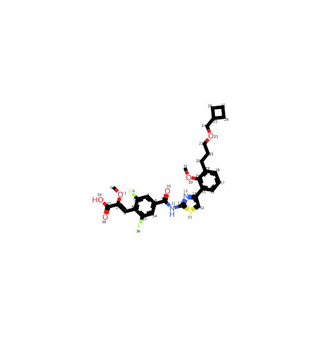 COC(=Cc1c(F)cc(C(=O)Nc2nc(-c3cccc(CCCOCC4CCC4)c3OC)cs2)cc1F)C(=O)O